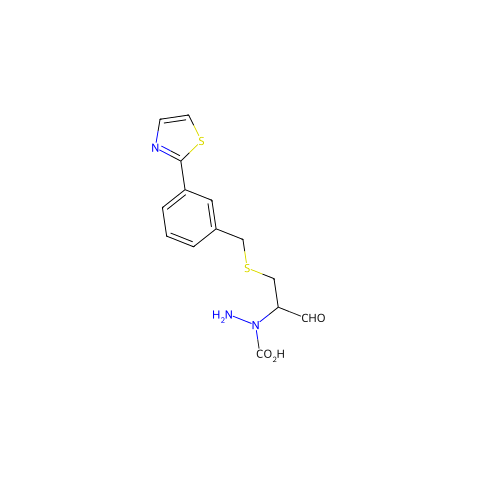 NN(C(=O)O)C(C=O)CSCc1cccc(-c2nccs2)c1